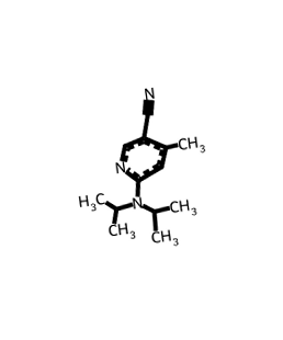 Cc1cc(N(C(C)C)C(C)C)ncc1C#N